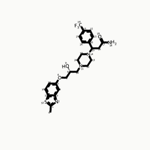 Cc1nc2cc(OC[C@H](O)CN3CCN(C(CC(N)=O)c4ccc(C(F)(F)F)cc4)CC3)ccc2s1